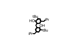 CC(C)Cc1cc(Cc2cc(CC(C)C)cc(C(C)(C)C)c2O)c(O)c(C(C)(C)C)c1